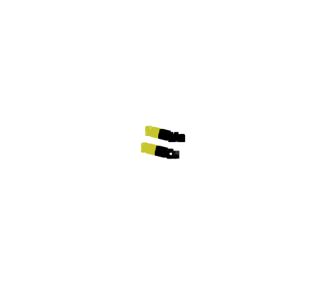 [S]=[Cu].[S]=[Mn]